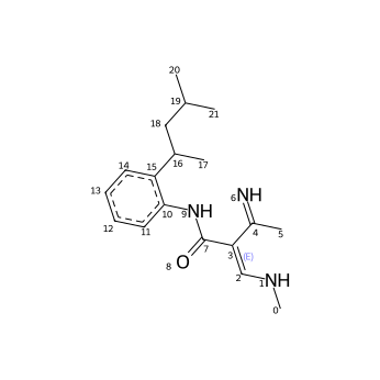 CN/C=C(\C(C)=N)C(=O)Nc1ccccc1C(C)CC(C)C